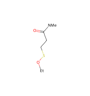 CCOSCCC(=O)NC